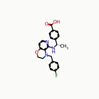 C[C@H](Nc1nccc2c1N(Cc1ccc(F)cc1)CCO2)c1ccc(C(=O)O)cc1